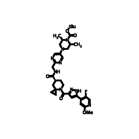 COc1cc(-c2cc(C(=O)N3CC[C@H](C(=O)NCc4ncc(N5CC(C)N(C(=O)OC(C)(C)C)C(C)C5)cn4)CC34CC4)n[nH]2)c(F)cn1